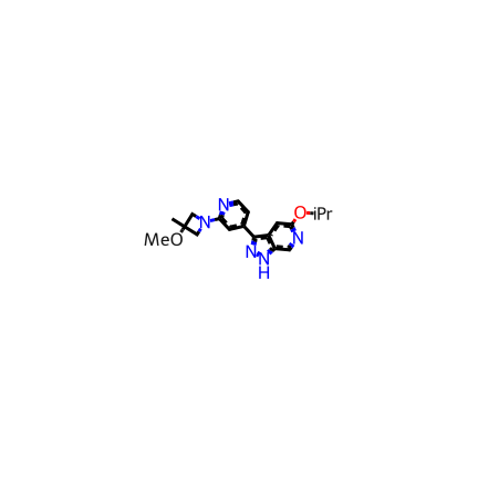 COC1(C)CN(c2cc(-c3n[nH]c4cnc(OC(C)C)cc34)ccn2)C1